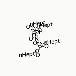 CCCCCCCC(=O)OCC(COC(=O)CCCCCCC)COC(=O)CN(CCO)CC(=O)OCC(COC(=O)CCCCCCC)COC(=O)CCCCCCC